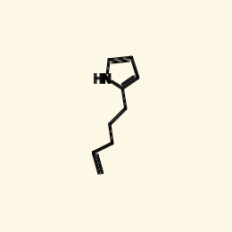 C=CCCCc1ccc[nH]1